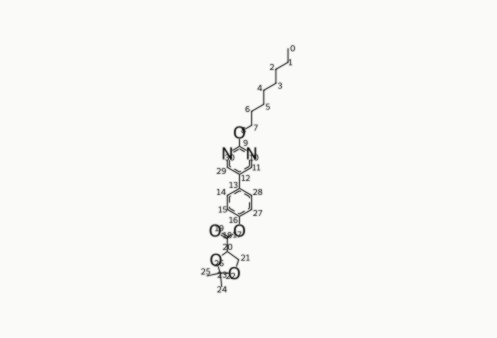 CCCCCCCCOc1ncc(-c2ccc(OC(=O)C3COC(C)(C)O3)cc2)cn1